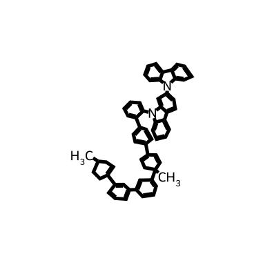 CC1CC=C(c2cccc(-c3cccc(C4(C)C=CC(c5ccc(-c6ccccc6-n6c7ccccc7c7ccc(-n8c9ccccc9c9ccccc98)cc76)cc5)=CC4)c3)c2)CC1